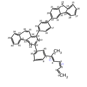 C=C/C=C\C=C(/C)c1cccc(-c2nc(-c3ccc(-c4ccc5sc6ccccc6c5c4)cc3)c3ccc4ccccc4c3n2)c1